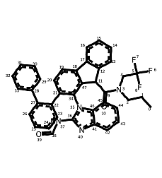 CCCN(CC(F)(F)F)C(=O)C1c2ccccc2-c2ccc(-c3ccccc3-c3ccccc3)c(-n3c(NC=O)nc4ccccc43)c21